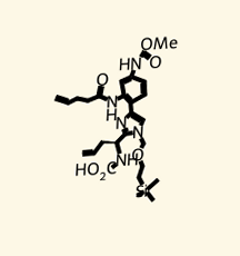 C=CCCC(=O)Nc1cc(NC(=O)OC)ccc1-c1cn(COCC[Si](C)(C)C)c([C@H](CC=C)NC(=O)O)n1